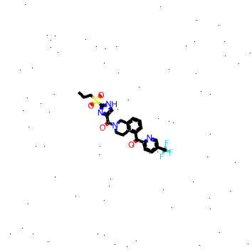 CCCS(=O)(=O)c1nc(C(=O)N2CCc3c(cccc3C(=O)c3ccc(C(F)(F)F)cn3)C2)c[nH]1